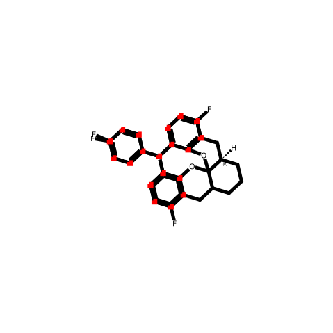 Fc1ccc(P(c2ccc(F)cc2)c2cccc3c2OC24Oc5c(cccc5P(c5ccc(F)cc5)c5ccc(F)cc5)C[C@H]2CCCC4C3)cc1